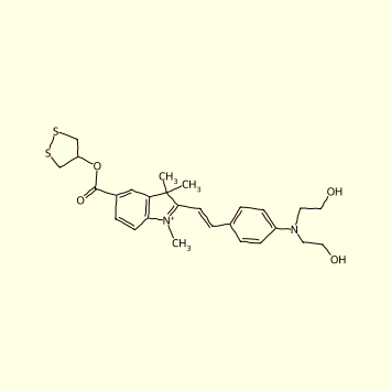 C[N+]1=C(/C=C/c2ccc(N(CCO)CCO)cc2)C(C)(C)c2cc(C(=O)OC3CSSC3)ccc21